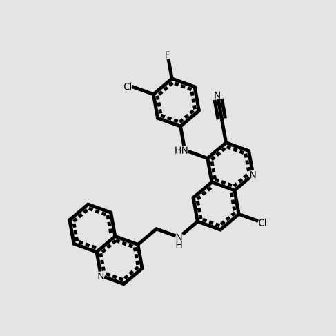 N#Cc1cnc2c(Cl)cc(NCc3ccnc4ccccc34)cc2c1Nc1ccc(F)c(Cl)c1